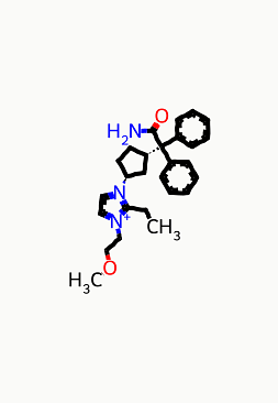 CCc1n([C@@H]2CC[C@H](C(C(N)=O)(c3ccccc3)c3ccccc3)C2)cc[n+]1CCOC